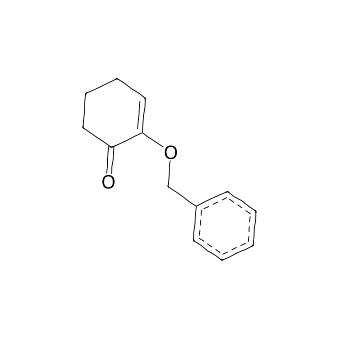 O=C1CCCC=C1OCc1ccccc1